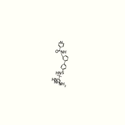 CC(C)(NSc1ccc(-c2cccc(CNC(=O)c3ccncc3)c2)cc1)/C(=C/N)NN